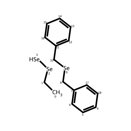 CC[Se][SeH].c1ccc(C[Se]Cc2ccccc2)cc1